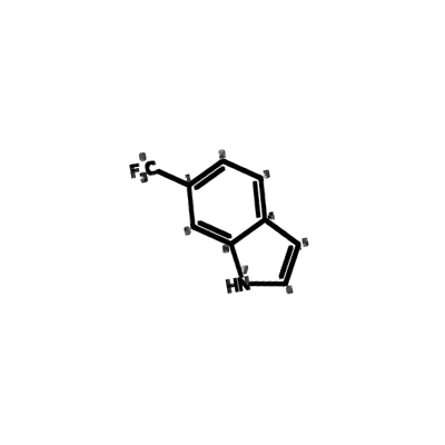 FC(F)(F)c1ccc2[c]c[nH]c2c1